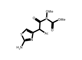 COC(=O)N(OC)C(=O)C(C(C)=O)c1csc(N)n1